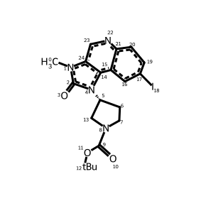 Cn1c(=O)n([C@@H]2CCN(C(=O)OC(C)(C)C)C2)c2c3cc(I)ccc3ncc21